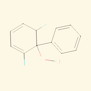 FC1=CC=CC(F)C1(OC(F)(F)F)c1ccccc1